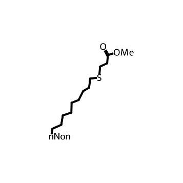 CCCCCCCCCCCCCCCCCCSCCC(=O)OC